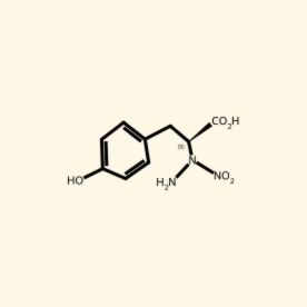 NN([C@@H](Cc1ccc(O)cc1)C(=O)O)[N+](=O)[O-]